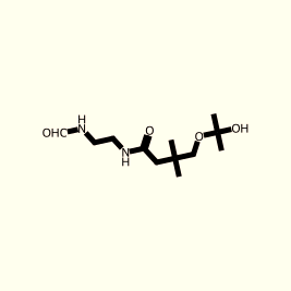 CC(C)(COC(C)(C)O)CC(=O)NCCNC=O